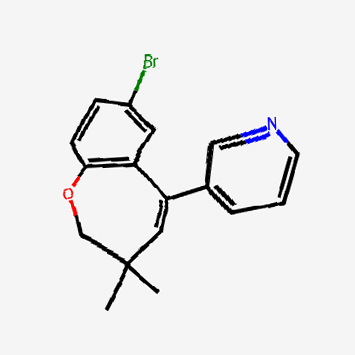 CC1(C)C=C(c2cccnc2)c2cc(Br)ccc2OC1